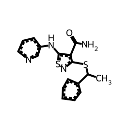 CC(Sc1nsc(Nc2cccnc2)c1C(N)=O)c1ccccc1